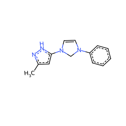 Cc1cc(N2C=CN(c3ccccc3)C2)[nH]n1